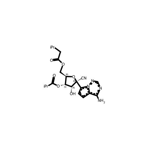 CC(C)CC(=O)OC[C@H]1O[C@@](C#N)(c2ccc3c(N)ncnn23)[C@H](O)[C@@H]1OC(=O)C(C)C